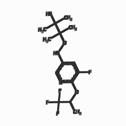 CC(Oc1ncc(BOC(C)(C)C(C)(C)S)cc1F)C(F)(F)F